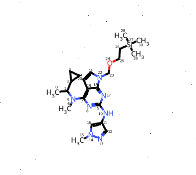 CC(C1CC1)N(C)c1nc(Nc2cnn(C)c2)nc2c1ccn2COCC[Si](C)(C)C